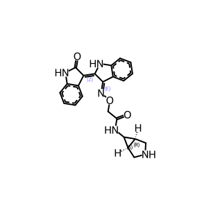 O=C(CO/N=C1/C(=C2/C(=O)Nc3ccccc32)Nc2ccccc21)NC1[C@H]2CNC[C@@H]12